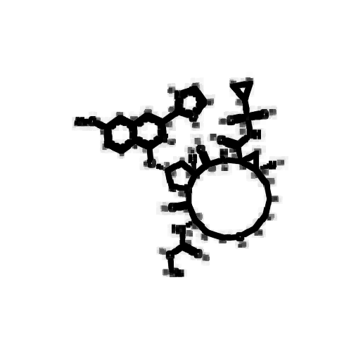 COc1ccc2c(O[C@@H]3C[C@H]4C(=O)N[C@]5(C(=O)NS(=O)(=O)C6CC6)C[C@H]5CCCCOCC[C@H](NC(=O)OC(C)(C)C)C(=O)N4C3)nc(-c3ncco3)cc2c1